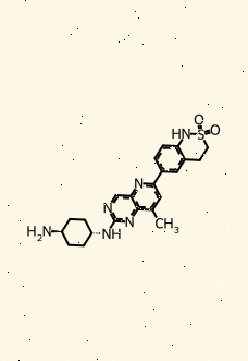 Cc1cc(-c2ccc3c(c2)CCS(=O)(=O)N3)nc2cnc(N[C@H]3CC[C@H](N)CC3)nc12